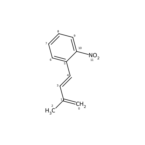 C=C(C)/C=C/c1ccccc1[N+](=O)[O-]